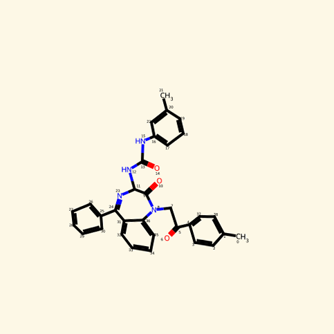 Cc1ccc(C(=O)CN2C(=O)C(NC(=O)Nc3cccc(C)c3)N=C(c3ccccc3)c3ccccc32)cc1